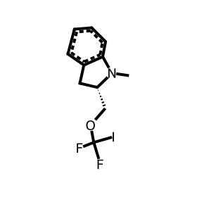 CN1c2ccccc2C[C@H]1COC(F)(F)I